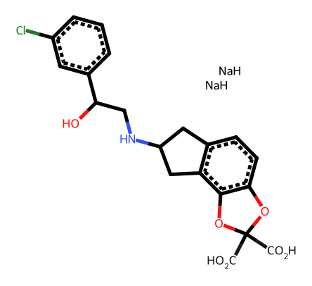 O=C(O)C1(C(=O)O)Oc2ccc3c(c2O1)CC(NCC(O)c1cccc(Cl)c1)C3.[NaH].[NaH]